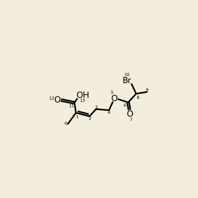 CC(=CCCOC(=O)C(C)Br)C(=O)O